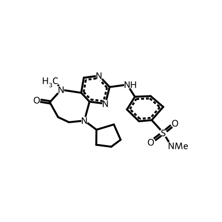 CNS(=O)(=O)c1ccc(Nc2ncc3c(n2)N(C2CCCC2)CCC(=O)N3C)cc1